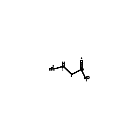 CCCNCC(=O)N=O